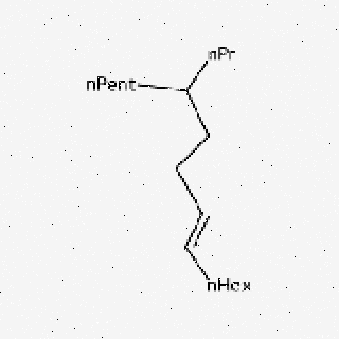 CCCCCCC=CCCC(CCC)CCCCC